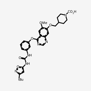 COc1cc2c(Oc3cccc(NC(=O)Nc4cc(C(C)(C)C)no4)c3)ncnc2cc1OCC1CCN(C(=O)O)CC1